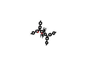 Cc1ccc(-c2ccc(N(c3ccc(-c4ccc(C)cc4)cc3)c3ccc(-c4ccc(N(c5ccc(-c6ccc(C)cc6)cc5)c5ccc(-c6ccc(C)cc6)cc5)cc4C(F)(F)F)c(C(F)(F)F)c3)cc2)cc1